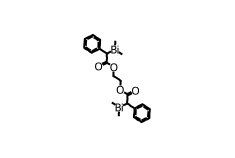 [CH3][Bi]([CH3])[CH](C(=O)OCCOC(=O)[CH](c1ccccc1)[Bi]([CH3])[CH3])c1ccccc1